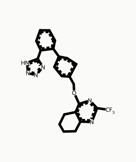 FC(F)(F)c1nc2c(c(OCc3ccc(-c4ccccc4-c4nnn[nH]4)cc3)n1)CCCC2